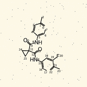 C=C(C)/C=C\C(=C/C)NC(=O)C1(C(=O)NC(=C/C)/C=C(/F)C(=C)C)CC1